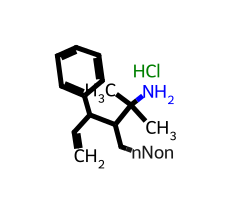 C=CC(c1ccccc1)C(CCCCCCCCCC)C(C)(C)N.Cl